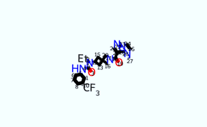 CCN(C(=O)Nc1cccc(C(F)(F)F)c1)C1CC2(C1)CN(C(=O)c1cnn3ccn(C)c13)C2